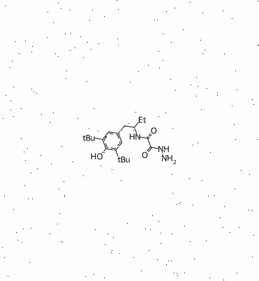 CCC(Cc1cc(C(C)(C)C)c(O)c(C(C)(C)C)c1)NC(=O)C(=O)NN